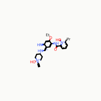 C#C[N@+]1(O)CC[C@H](N/C=C2/C=C(NC(=O)c3cccc(C(C)C)[n+]3O)C(OCC)=CC2=N)CC1